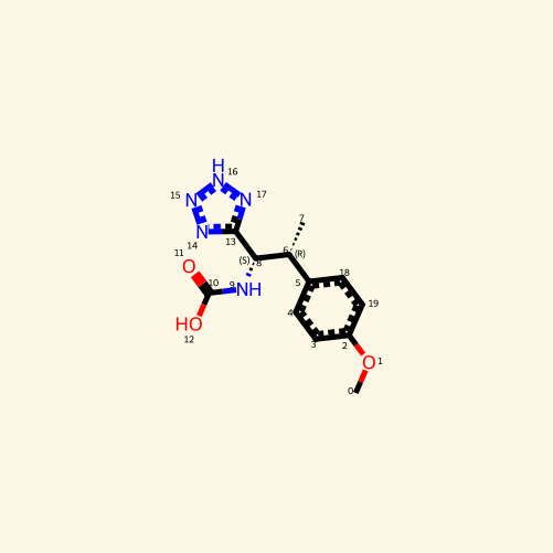 COc1ccc([C@@H](C)[C@H](NC(=O)O)c2nn[nH]n2)cc1